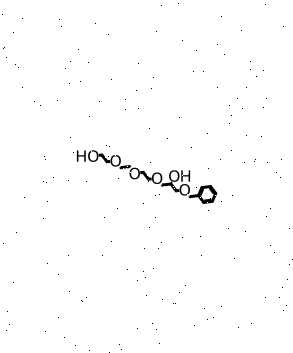 OCCOCCOCCOC[C@H](O)COCc1ccccc1